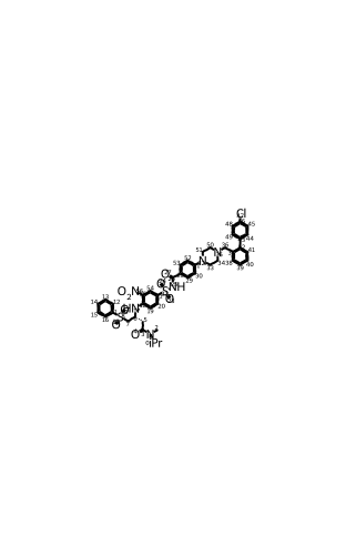 CC(C)N(C)C(=O)C[C@H](CS(=O)(=O)c1ccccc1)Nc1ccc(S(=O)(=O)NC(=O)c2ccc(N3CCN(Cc4ccccc4-c4ccc(Cl)cc4)CC3)cc2)cc1[N+](=O)[O-]